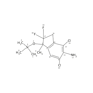 CC1(O[Si](C)(C)C)c2cc(Cl)c(N)c(Cl)c2CC1(F)F